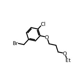 CCOCCCOc1cc(CBr)ccc1Cl